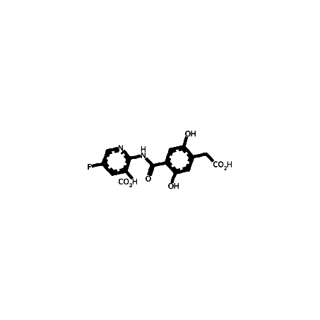 O=C(O)Cc1cc(O)c(C(=O)Nc2ncc(F)cc2C(=O)O)cc1O